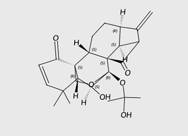 C=C1C2C(=O)[C@]34[C@H]2[C@H]1CC[C@H]3[C@@]12CO[C@]4(OC(C)(C)O)[C@@H](O)[C@@H]1C(C)(C)C=CC2=O